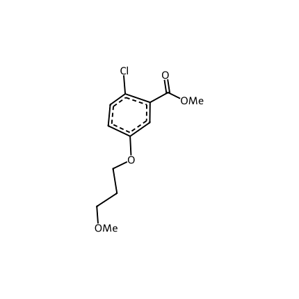 COCCCOc1ccc(Cl)c(C(=O)OC)c1